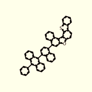 c1ccc(-c2c3ccccc3c(-c3ccc(-c4cc5oc6ccc7c8ccccc8sc7c6c5c5ccccc45)c4ccccc34)c3ccccc23)cc1